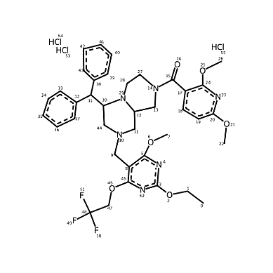 CCOc1nc(OC)c(CN2CC3CN(C(=O)c4ccc(OC)nc4OC)CCN3C(C(c3ccccc3)c3ccccc3)C2)c(OCC(F)(F)F)n1.Cl.Cl.Cl